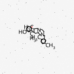 Cc1ccc(C)c(CN2CCN3CC(C)C(C)(c4cccc(O)c4)CC3C2)c1